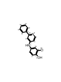 Oc1ccc(Nc2ccnc(-c3ccccc3)c2)cc1Cl